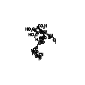 C[C@H](CN1C(=O)CC(SC[C@H](CCCCNC(=O)CCCc2ccc(I)cc2)NC(=O)CN2CCN(CC(=O)O)CCN(CC(=O)O)CCN(CC(=O)O)CC2)C1=O)C(=O)N1CCC(CCCOc2ccc3nccc(C(=O)NCC(=O)N4CC(F)(F)C[C@@H]4C#N)c3c2)CC1